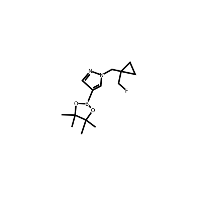 CC1(C)OB(c2cnn(CC3(CF)CC3)c2)OC1(C)C